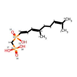 CC(C)=CCC/C(C)=C/C=C/P(=O)(O)CP(=O)(O)O